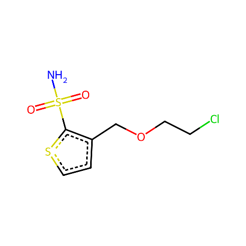 NS(=O)(=O)c1sccc1COCCCl